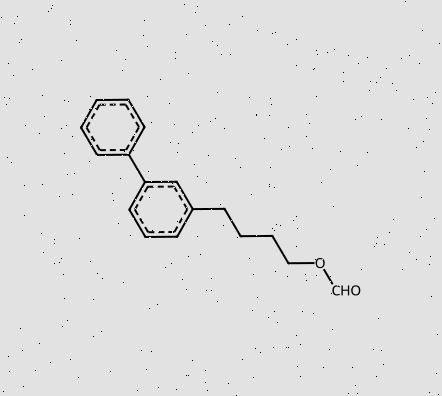 O=COCCCCc1cccc(-c2ccccc2)c1